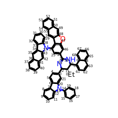 CC[C@@H]1C(c2ccc3c4ccccc4n(-c4ccccc4)c3c2)N=C(c2cc(-n3c4ccccc4c4cc5ccccc5cc43)c3c(c2)oc2cc4ccccc4cc23)NC1c1cccc2ccccc12